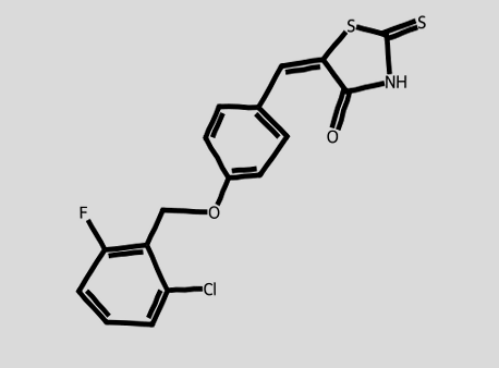 O=C1NC(=S)S/C1=C/c1ccc(OCc2c(F)cccc2Cl)cc1